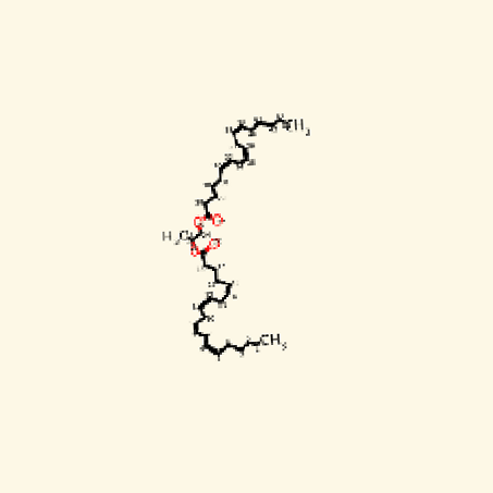 CCCCC/C=C\C/C=C\C/C=C\C/C=C\CCCC(=O)O[C@@H](C)COC(=O)CCCC/C=C\C/C=C\C/C=C\CCCCC